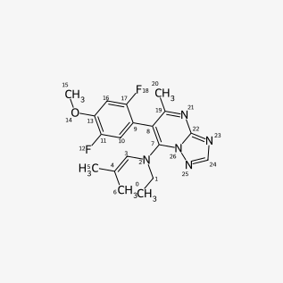 CCN(C=C(C)C)c1c(-c2cc(F)c(OC)cc2F)c(C)nc2ncnn12